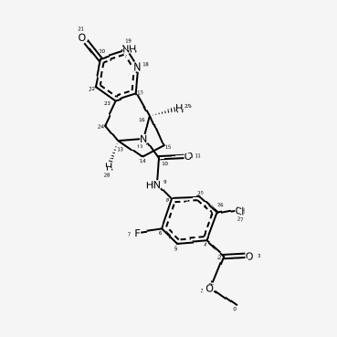 COC(=O)c1cc(F)c(NC(=O)N2[C@H]3CC[C@@H]2c2n[nH]c(=O)cc2C3)cc1Cl